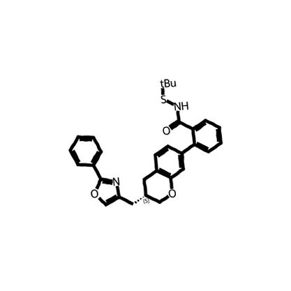 CC(C)(C)SNC(=O)c1ccccc1-c1ccc2c(c1)OC[C@H](Cc1coc(-c3ccccc3)n1)C2